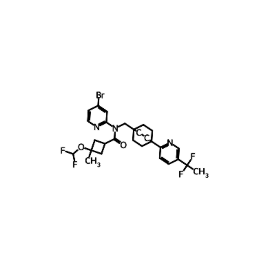 CC1(OC(F)F)CC(C(=O)N(CC23CCC(c4ccc(C(C)(F)F)cn4)(CC2)CC3)c2cc(Br)ccn2)C1